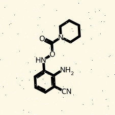 N#Cc1cccc(NOC(=O)N2CCCCC2)c1N